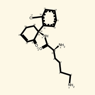 NCCCC[C@H](N)C(=O)N[C@]1(c2ccccc2Cl)CCC=CC1=O